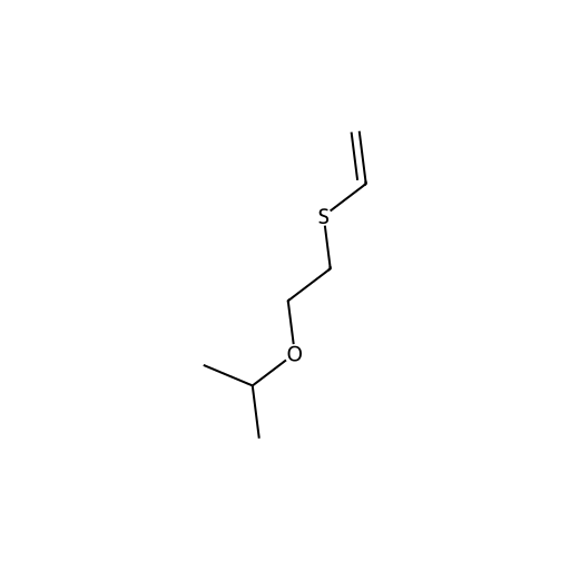 C=CSCCOC(C)C